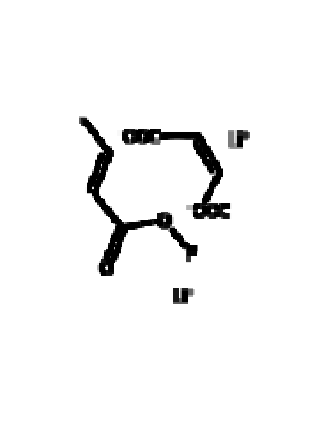 C/C=C/C(=O)OF.O=C([O-])/C=C\C(=O)[O-].[Li+].[Li+]